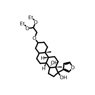 CCOC(COC1CC[C@@]2(C)C(CC[C@@H]3[C@H]2CC[C@]2(C)C(O)(c4ccoc4)CC[C@@]32O)C1)OCC